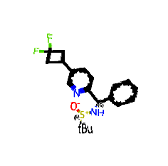 CC(C)(C)[S@+]([O-])N[C@@H](c1ccccc1)c1ccc(C2CC(F)(F)C2)cn1